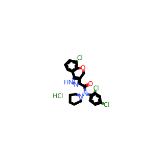 Cl.O=C(c1n[nH]c2c1COc1c(Cl)cccc1-2)N(c1ccc(Cl)cc1Cl)N1CCCCC1